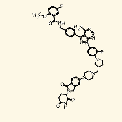 COc1ccc(F)cc1C(=O)NCc1ccc(-c2nn(-c3ccc(N4CC[C@H](CN5CCN(c6ccc7c(c6)CN([C@H]6CCC(=O)NC6=O)C7=O)CC5)C4)c(F)c3)c3ncnc(N)c23)cc1